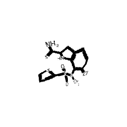 CN(c1c(Cl)ccc2c1NC(C(N)=S)C2)S(=O)(=O)c1cccs1